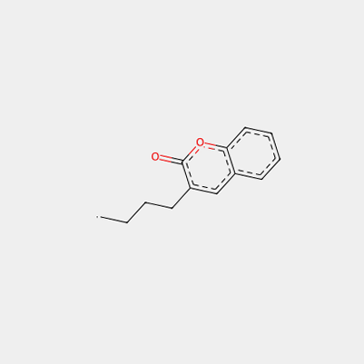 [CH2]CCCc1cc2ccccc2oc1=O